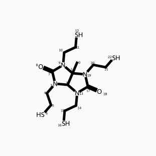 CC12C(N(CCS)C(=O)N1CCS)N(CCS)C(=O)N2CCS